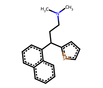 CN(C)CCC(c1cccs1)c1cccc2ccccc12